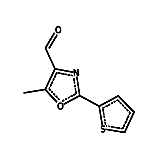 Cc1oc(-c2cccs2)nc1C=O